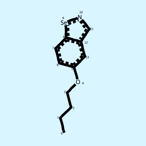 CCCCOc1ccc2[se]ncc2c1